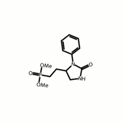 COP(=O)(CCC1CNC(=O)N1c1ccccc1)OC